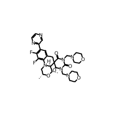 C[C@@H]1CN2c3c(cc(-c4cnccn4)c(F)c3F)CC3(C(=O)N(CN4CCOCC4)C(=O)N(CN4CCOCC4)C3=O)[C@H]2[C@H](C)O1